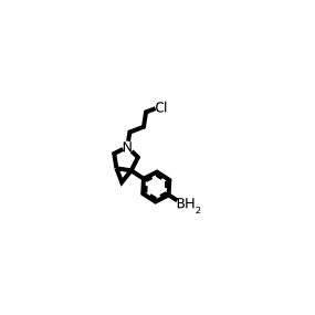 Bc1ccc(C23CC2CN(CCCCl)C3)cc1